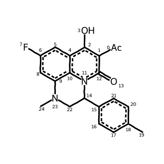 CC(=O)c1c(O)c2cc(F)cc3c2n(c1=O)C(c1ccc(C)cc1)CN3C